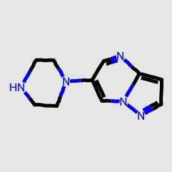 c1cc2ncc(N3CCNCC3)cn2n1